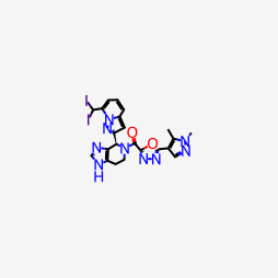 Cc1c(-c2nnc(C(=O)N3CCc4[nH]cnc4[C@H]3c3cc4cccc(C(I)I)n4n3)o2)cnn1C